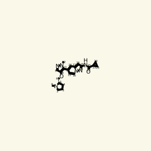 CN1CCC[C@H]1COc1cnn(C)c1-c1ccn2nc(NC(=O)C3CC3)cc2c1